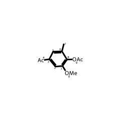 COc1cc(C(C)=O)cc(C)c1OC(C)=O